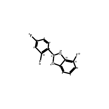 Fc1ccc(B2Oc3cccc(F)c3O2)c(F)c1